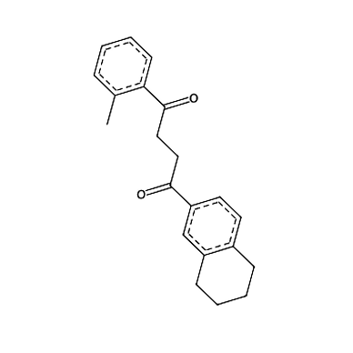 Cc1ccccc1C(=O)CCC(=O)c1ccc2c(c1)CCCC2